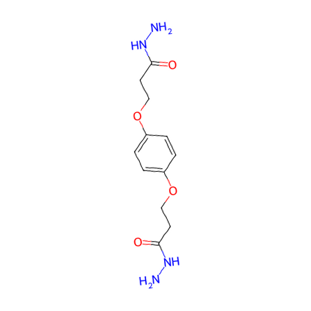 NNC(=O)CCOc1ccc(OCCC(=O)NN)cc1